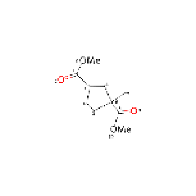 COC(=O)C1CCC(C)(C(=O)OC)C1